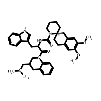 COc1cc2c(cc1OC)C[C@@]1(CCCCN1C(=O)NC(Cc1c[nH]c3ccccc13)C(=O)N1CC(CN(C)C)Cc3ccccc31)CC2